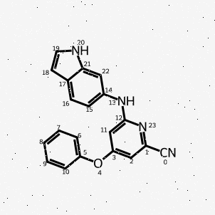 N#Cc1cc(Oc2ccccc2)cc(Nc2ccc3cc[nH]c3c2)n1